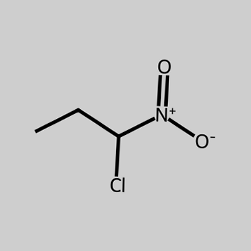 CCC(Cl)[N+](=O)[O-]